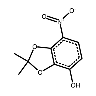 CC1(C)Oc2c(O)ccc([N+](=O)[O-])c2O1